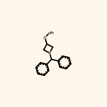 CCCOC1CN(C(c2ccccc2)c2ccccc2)C1